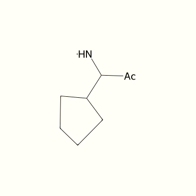 CC(=O)C([NH])C1CCCC1